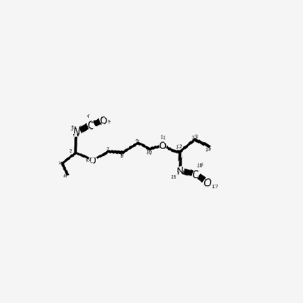 CCC(N=C=O)OCCCCOC(CC)N=C=O